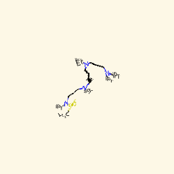 CCN(CCCCN(CCCN(C(C)C)S(C)=S)C(C)C)CCCN(C(C)C)C(C)C